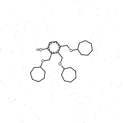 Oc1ccc(COC2CCCCCC2)c(COC2CCCCCC2)c1COC1CCCCCC1